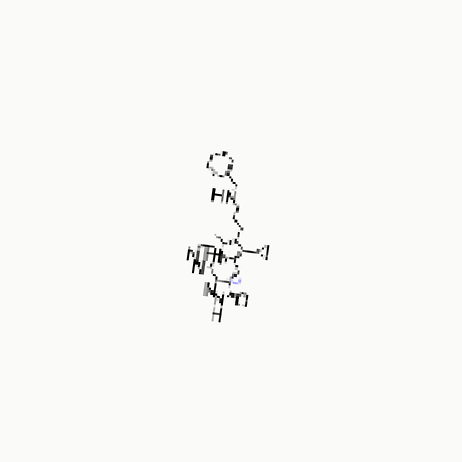 Cc1[nH]c(/C=C2/C(=O)NN=C2c2nccnn2)c(C2CC2)c1CCCNCc1ccccc1